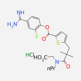 CCCN(CC(=O)O)C(=O)C(C)(C)Cc1ccc(C(=O)Oc2ccc(C(=N)N)cc2F)s1.Cl